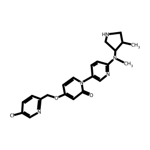 CC1CNCC1N(C)c1ccc(-n2ccc(OCc3ccc(Cl)cn3)cc2=O)cn1